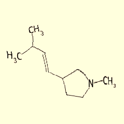 CC(C)/C=C/C1CCN(C)C1